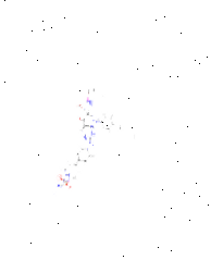 CCc1ccc(-n2cc(C(=O)NOC)c(=O)c3cnc(Nc4ccc(C5CCN(S(N)(=O)=O)CC5)cc4)nc32)cc1